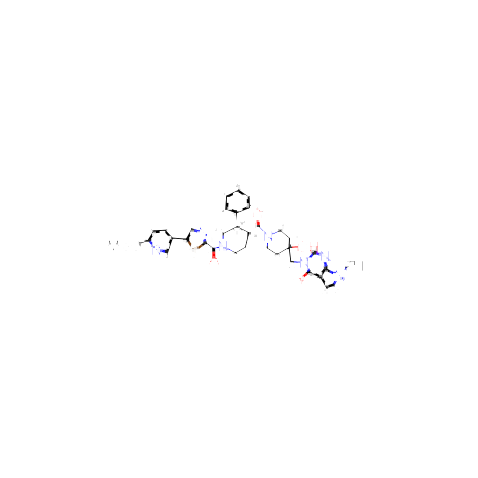 COc1ccc(-c2cnc(C(=O)N3CC[C@@H](C(=O)N4CCC(O)(Cn5cnc6c(ccn6C)c5=O)CC4)[C@H](c4ccccc4)C3)s2)cn1